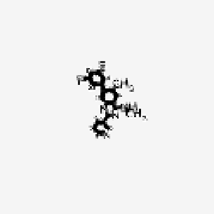 CNC1=NC(c2cccnc2)=NC2C=C(c3cc(F)cc(F)c3)C(C)=CC12